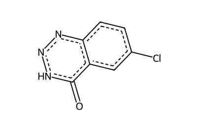 O=c1[nH]nnc2ccc(Cl)cc12